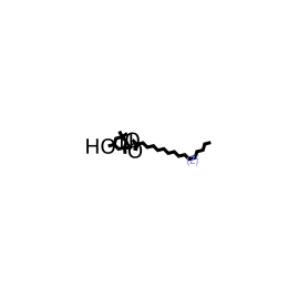 CCCC/C=C\CCCCCCCCCC(=O)ON1C(C)(C)CC(O)CC1(C)C